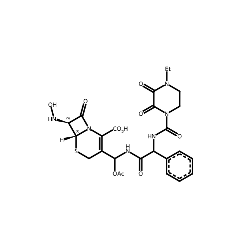 CCN1CCN(C(=O)NC(C(=O)NC(OC(C)=O)C2=C(C(=O)O)N3C(=O)[C@H](NO)[C@H]3SC2)c2ccccc2)C(=O)C1=O